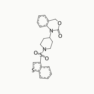 O=C1OCc2ccccc2N1C1CCN(S(=O)(=O)c2csc3ccccc23)CC1